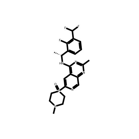 Cc1nc(N[C@H](C)c2cccc(C(F)F)c2F)c2cc(P3(=O)CCN(C)CC3)ncc2n1